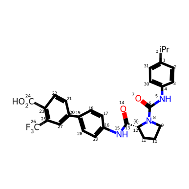 CC(C)c1ccc(NC(=O)N2CCC[C@@H]2C(=O)Nc2ccc(-c3ccc(C(=O)O)c(C(F)(F)F)c3)cc2)cc1